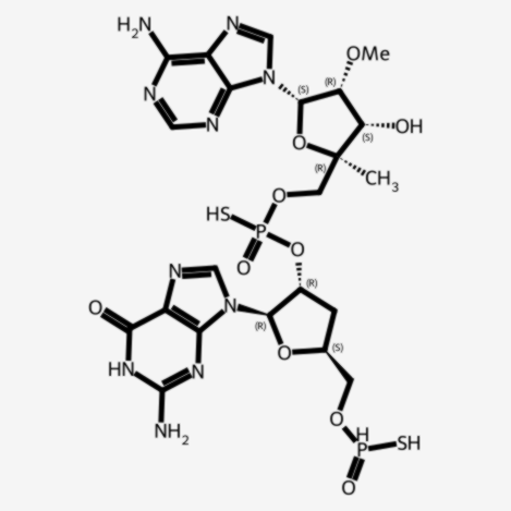 CO[C@H]1[C@@H](n2cnc3c(N)ncnc32)O[C@](C)(COP(=O)(S)O[C@@H]2C[C@@H](CO[PH](=O)S)O[C@H]2n2cnc3c(=O)[nH]c(N)nc32)[C@H]1O